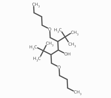 CCCCOCC(C(O)C(COCCCC)C(C)(C)C)C(C)(C)C